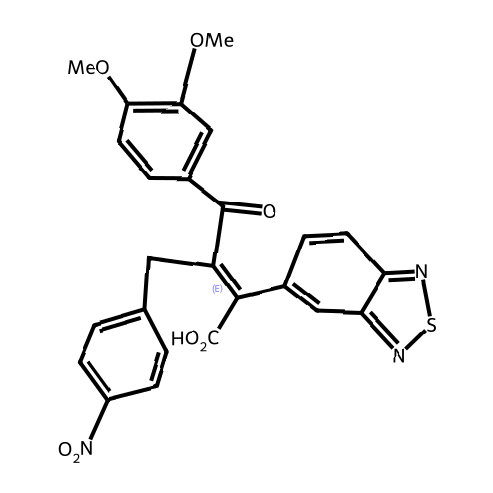 COc1ccc(C(=O)/C(Cc2ccc([N+](=O)[O-])cc2)=C(/C(=O)O)c2ccc3nsnc3c2)cc1OC